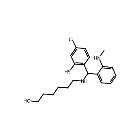 CNc1ccccc1C(NCCCCCCO)c1ccc(Cl)cc1S